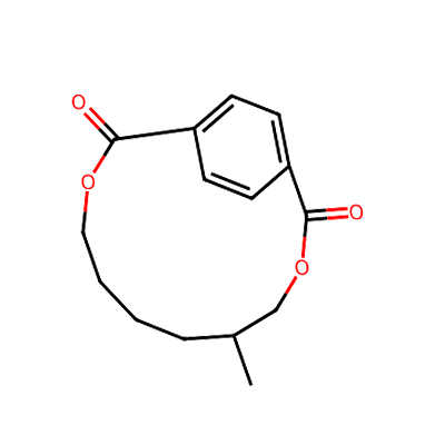 CC1CCCCOC(=O)c2ccc(cc2)C(=O)OC1